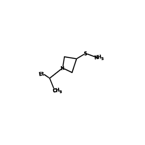 CCC(C)N1CC(SN)C1